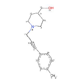 [CH2]c1ccc(C#CCN2CCC(CO)CC2)cc1